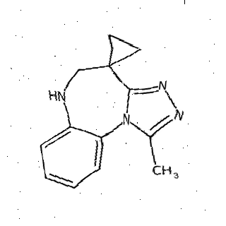 Cc1nnc2n1-c1ccccc1NCC21CC1